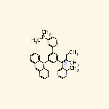 CC/C(C)=C(\c1cc(-c2cccc(P(C)C)c2)cc(-c2c3ccccc3cc3ccccc23)c1)c1ccccc1C